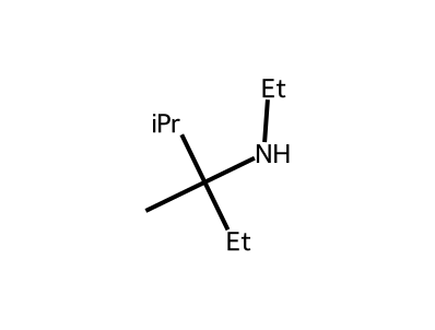 CCNC(C)(CC)C(C)C